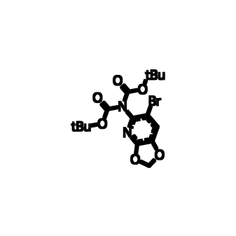 CC(C)(C)OC(=O)N(C(=O)OC(C)(C)C)c1nc2c(cc1Br)OCO2